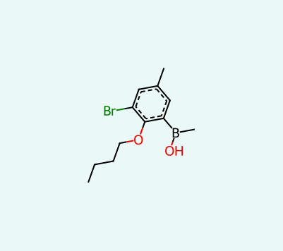 CCCCOc1c(Br)cc(C)cc1B(C)O